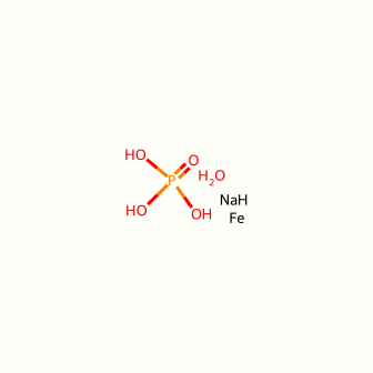 O.O=P(O)(O)O.[Fe].[NaH]